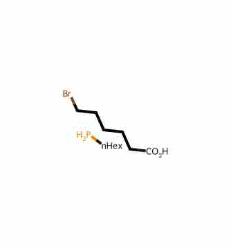 CCCCCCP.O=C(O)CCCCCBr